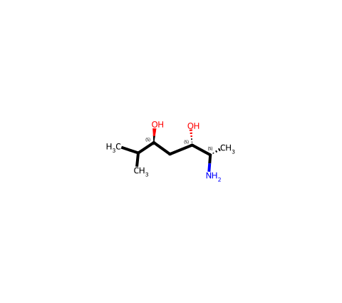 CC(C)[C@@H](O)C[C@H](O)[C@H](C)N